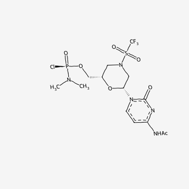 CC(=O)Nc1ccn([C@H]2CN(S(=O)(=O)C(F)(F)F)C[C@@H](CO[P@](=O)(Cl)N(C)C)O2)c(=O)n1